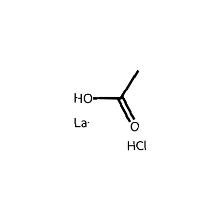 CC(=O)O.Cl.[La]